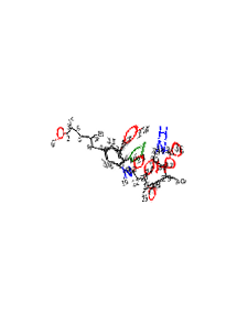 COC[C@@H](C)C/C=C(\C)Cc1cc(OC)c(Cl)c(N(C)C(=O)CC(O)C2(C)OC2C(C)C2CCNC(=O)O2)c1